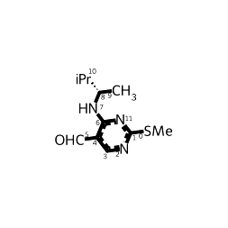 CSc1ncc(C=O)c(N[C@@H](C)C(C)C)n1